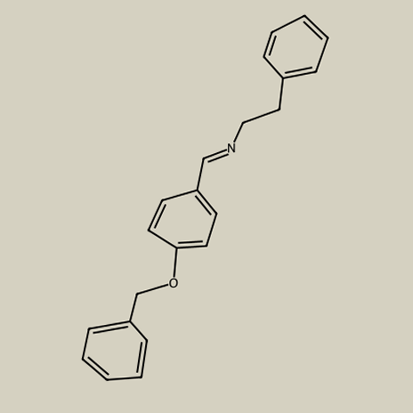 C(=N\CCc1ccccc1)/c1ccc(OCc2ccccc2)cc1